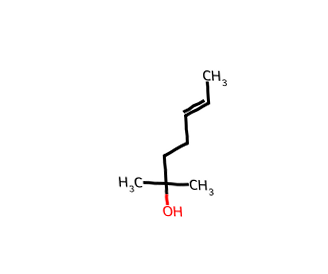 CC=CCCC(C)(C)O